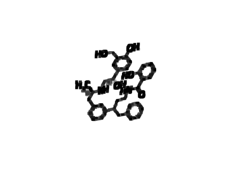 C[C@H](Cc1cccc(C(CCNC(=O)c2ccccc2O)Cc2ccccc2)c1)NC[C@@H](O)c1ccc(O)c(CO)c1